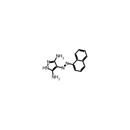 Nc1n[nH]c(N)c1/N=N/c1cccc2ccccc12